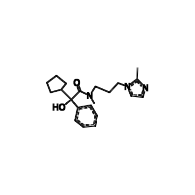 Cc1nccn1CCCN(C)C(=O)C(O)(c1ccccc1)C1CCCC1